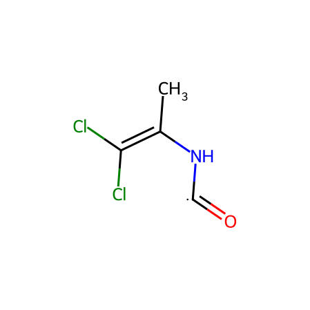 CC(N[C]=O)=C(Cl)Cl